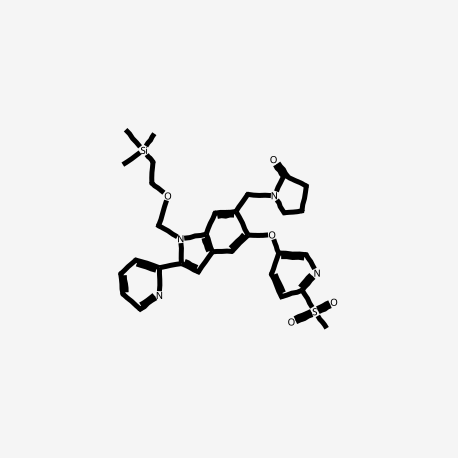 C[Si](C)(C)CCOCn1c(-c2ccccn2)cc2cc(Oc3ccc(S(C)(=O)=O)nc3)c(CN3CCCC3=O)cc21